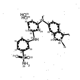 Cc1c2ccc(N(C)c3ccnc(Nc4cccc(S(N)(=O)=O)c4)n3)cc2nn1C.Cl.Cl